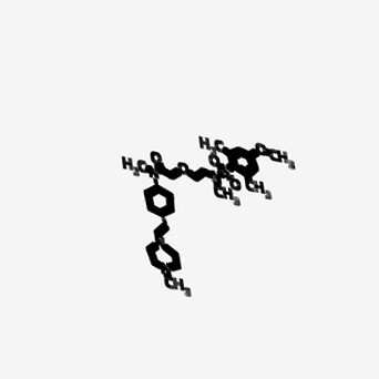 COc1cc(C)c(S(=O)(=O)N(C)CCOCC(=O)N(C)[C@H]2CC[C@@H](CCN3CCN(C)CC3)CC2)c(C)c1